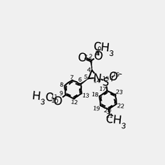 COC(=O)[C@@H]1[C@H](c2ccc(OC)cc2)N1[S+]([O-])c1ccc(C)cc1